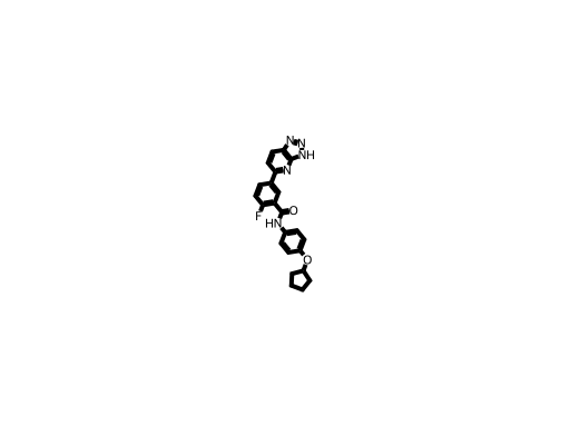 O=C(Nc1ccc(OC2CCCC2)cc1)c1cc(-c2ccc3nn[nH]c3n2)ccc1F